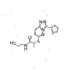 CC(Sc1ccc2nnc(-c3cccs3)n2n1)C(=O)NCCO